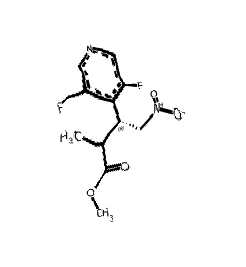 COC(=O)C(C)[C@@H](C[N+](=O)[O-])c1c(F)cncc1F